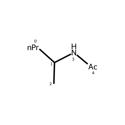 CCCC(C)NC(C)=O